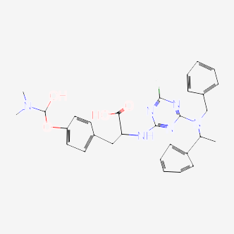 CC(c1ccccc1)N(Cc1ccccc1)c1nc(Cl)nc(NC(Cc2ccc(OC(O)N(C)C)cc2)C(=O)O)n1